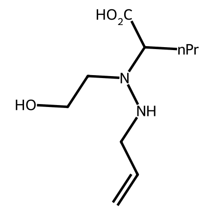 C=CCNN(CCO)C(CCC)C(=O)O